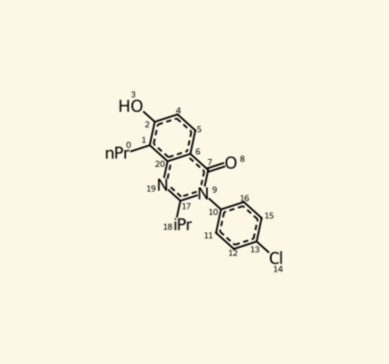 CCCc1c(O)ccc2c(=O)n(-c3ccc(Cl)cc3)c(C(C)C)nc12